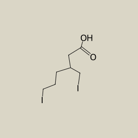 O=C(O)CC(CI)CCCI